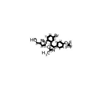 Cc1nc(-c2ccc(OC(F)(F)F)cc2)c(-c2cc(Br)ccc2-n2ccc(CO)n2)o1